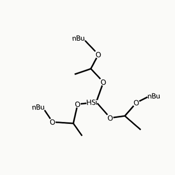 CCCCOC(C)O[SiH](OC(C)OCCCC)OC(C)OCCCC